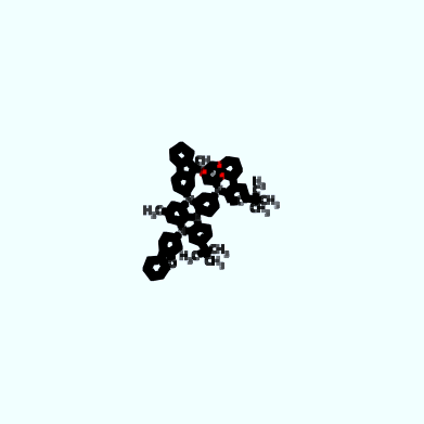 Cc1cc2c3c(c1)N(c1ccc4c(c1)oc1ccccc14)c1cc(C(C)(C)C)ccc1B3c1ccc(N(c3ccccc3)c3ccc(C(C)(C)C)cc3-c3ccccc3)cc1N2c1ccc2c(c1)C(C)(C)c1ccccc1-2